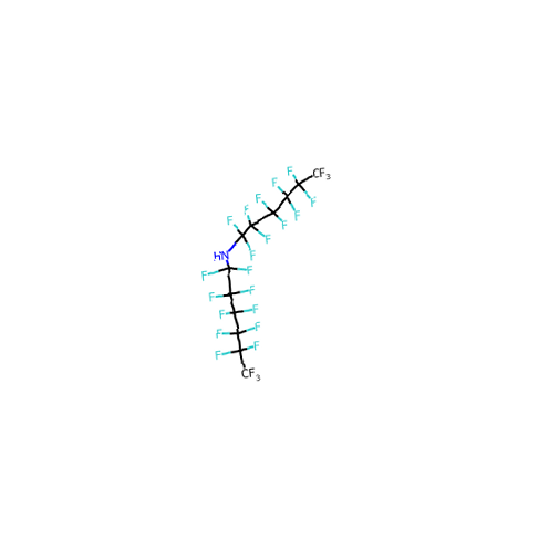 FC(F)(F)C(F)(F)C(F)(F)C(F)(F)C(F)(F)C(F)(F)NC(F)(F)C(F)(F)C(F)(F)C(F)(F)C(F)(F)C(F)(F)F